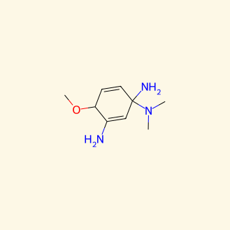 COC1C=CC(N)(N(C)C)C=C1N